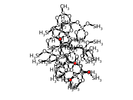 C[SiH](O[SiH2]O[SiH](O[SiH3])O[Si](O[SiH3])(O[Si](O[SiH3])(O[SiH3])O[SiH3])O[Si](O[Si](C)(C)O[Si](C)(C)C)(O[Si](O[SiH3])(O[SiH3])O[SiH3])O[Si](O[Si](O[SiH3])(O[SiH3])O[SiH3])(O[Si](O[SiH3])(O[SiH3])O[SiH3])O[Si](O[SiH3])(O[SiH3])O[SiH3])O[Si](O[Si](O[SiH3])(O[SiH3])O[SiH3])(O[Si](O[SiH3])(O[SiH3])O[SiH3])O[Si](O[SiH3])(O[SiH3])O[SiH](O[SiH3])O[SiH2]O[Si](C)(C)C